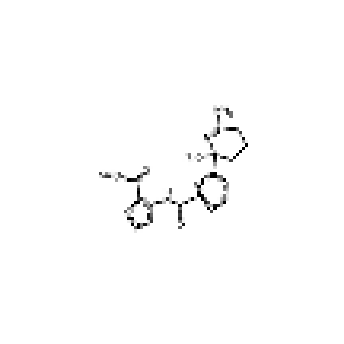 COC(=O)c1sccc1NC(=O)c1cccc(C2(C)CCSC(N)=N2)c1